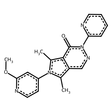 COc1cc(-n2c(C)c3cnn(-c4ccccn4)c(=O)c3c2C)ccn1